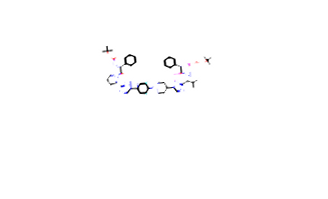 CC(C)[C@H](NC(=O)[C@H](NOCOC(C)(C)C)c1ccccc1)c1ncc(C2CCN(c3c(F)cc(-c4cnc([C@@H]5CCCN5C(=O)[C@H](NC(=O)OC(C)(C)C)c5ccccc5)[nH]4)cc3F)CC2)[nH]1